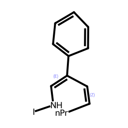 CCC/C=C\C(=C/NI)c1ccccc1